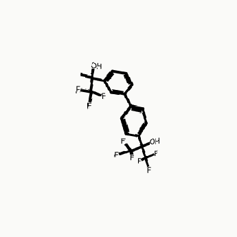 CC(O)(c1cccc(-c2ccc(C(O)(C(F)(F)F)C(F)(F)F)cc2)c1)C(F)(F)F